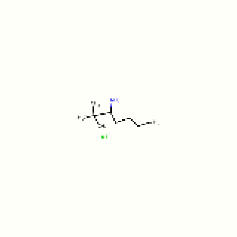 CCCCC(N)C(C)(C)C.Cl